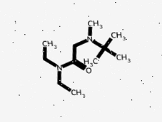 CCN(CC)C(=O)CN(C)C(C)(C)C